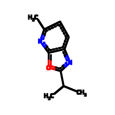 Cc1ccc2nc(C(C)C)oc2n1